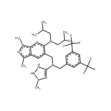 Cc1nn(C)c2nc(N(CC(C)C)CC(C)C)c(CN(Cc3cc(C(F)(F)F)cc(C(F)(F)F)c3)C3=NN(C)NN3)cc12